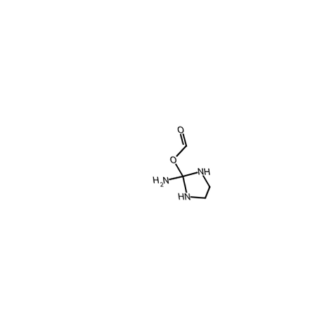 NC1(OC=O)NCCN1